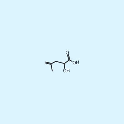 C=C(C)CC(O)C(=O)O